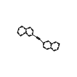 C(#Cc1ccc2ccccc2c1)c1ccc2ccccc2c1